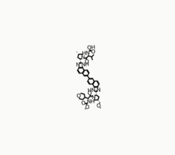 COC[C@H]1C[C@@H](c2nc3ccc4cc(-c5ccc6c(ccc7nc([C@@H]8C[C@H](C)CN8C(=O)[C@@H](NC(=O)O)C(C)C)[nH]c76)c5)ccc4c3[nH]2)N(C(=O)[C@@H](NC(=O)OC)C2CCOCC2)C1